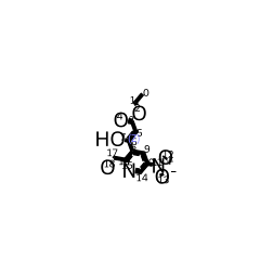 CCOC(=O)/C=C(\O)c1cc([N+](=O)[O-])cnc1C=O